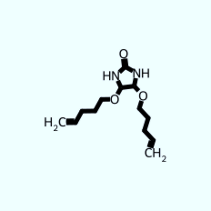 C=CCCCOC1NC(=O)NC1OCCCC=C